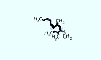 C=CC(C)/C(=C\C(=C)/C=C\C=C/CC)N=C